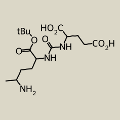 CC(N)CCC(NC(=O)NC(CCC(=O)O)C(=O)O)C(=O)OC(C)(C)C